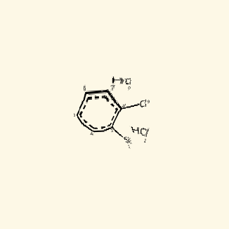 Cl.Cl.[Si]c1ccccc1Cl